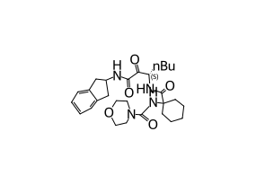 CCCC[C@H](NC(=O)C1(NC(=O)N2CCOCC2)CCCCC1)C(=O)C(=O)NC1Cc2ccccc2C1